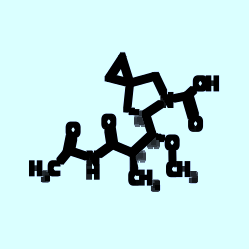 CO[C@H]([C@@H](C)C(=O)NC(C)=O)[C@@H]1CC2(CC2)CN1C(=O)O